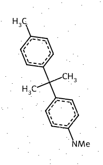 CNc1ccc(C(C)(C)c2ccc(C)cc2)cc1